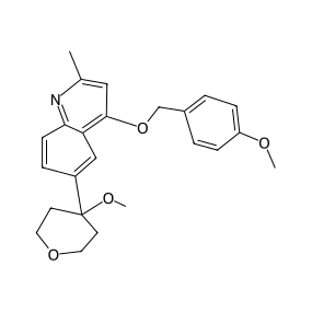 COc1ccc(COc2cc(C)nc3ccc(C4(OC)CCOCC4)cc23)cc1